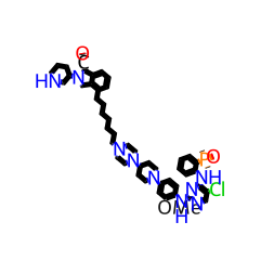 COc1cc(N2CCC(N3CCN(CCCCCCCc4cccc5c4CN(C4CCCNC4)C5=C=O)CC3)CC2)ccc1Nc1ncc(Cl)c(Nc2ccccc2P(C)(C)=O)n1